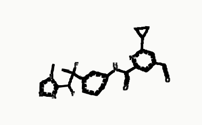 Cn1cnnc1C(F)C(C)(F)c1cccc(NC(=O)c2cc(C=O)cc(C3CC3)n2)c1